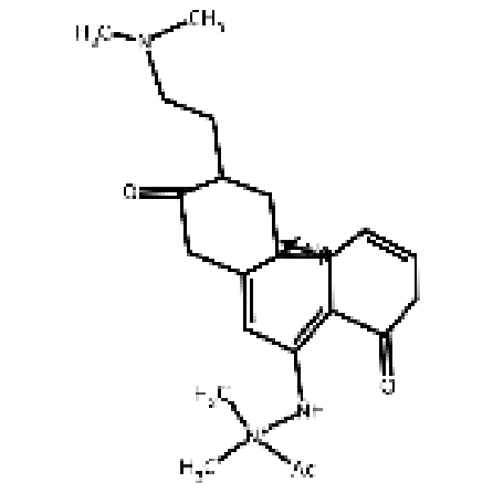 CC(=O)[N+](C)(C)NC1=C2C(=O)CC=CC23N=NC=CC32CC(CCN(C)C)C(=O)CC2=C1